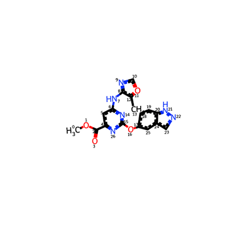 COC(=O)c1cc(Nc2ncoc2C)nc(Oc2ccc3[nH]ncc3c2)n1